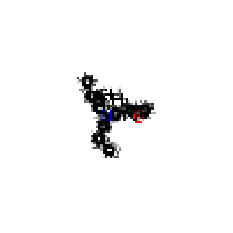 CC1(C)c2cc(-c3ccccc3)ccc2-c2ccc(N(c3ccc(-c4cccc(-c5ccccc5)c4)cc3)c3ccc(-c4ccc5c(c4)oc4ccccc45)cc3)cc21